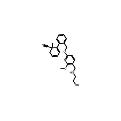 COc1nc(OCc2ccccc2C2=CC=CCC2(C)C#N)ccc1CNCCO